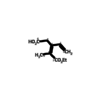 C=CC(CC(=O)O)=C(C)C(=O)OCC